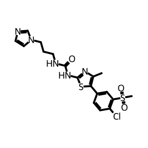 Cc1nc(NC(=O)NCCCn2ccnc2)sc1-c1ccc(Cl)c(S(C)(=O)=O)c1